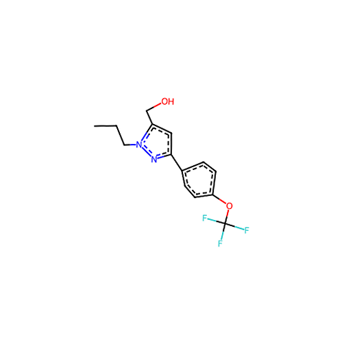 CCCn1nc(-c2ccc(OC(F)(F)F)cc2)cc1CO